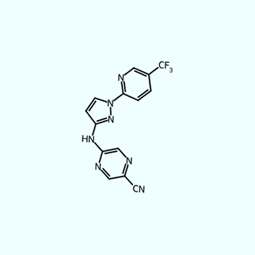 N#Cc1cnc(Nc2ccn(-c3ccc(C(F)(F)F)cn3)n2)cn1